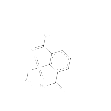 NOS(=O)(=O)c1c(C(=O)O)cccc1C(=O)O